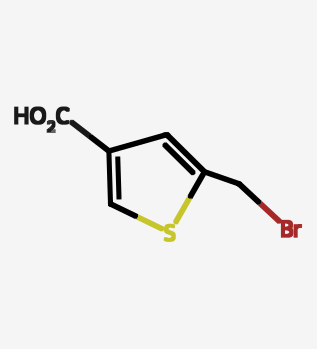 O=C(O)c1csc(CBr)c1